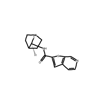 O=C(N[C@@H]1CN2CCC1CC2)c1cc2ccncc2s1